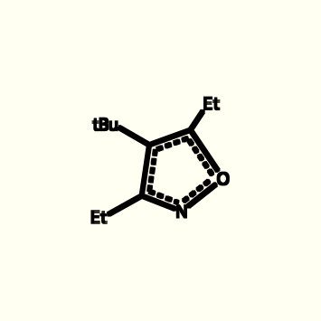 CCc1noc(CC)c1C(C)(C)C